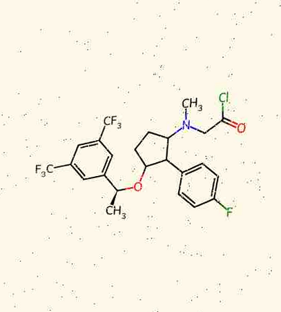 C[C@H](OC1CCC(N(C)CC(=O)Cl)C1c1ccc(F)cc1)c1cc(C(F)(F)F)cc(C(F)(F)F)c1